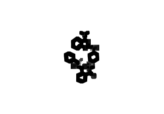 C[C@H](NC(=O)c1ccccc1C(=O)NC[C@H]1CC[C@@H](Nc2nc(N(C)C)c3ccccc3n2)CC1)c1ccccc1